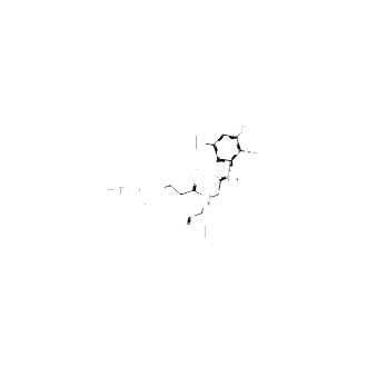 C=CCN(Cc1nc2c(F)c(F)cc(F)c2s1)C(=O)CCC(=O)OCC